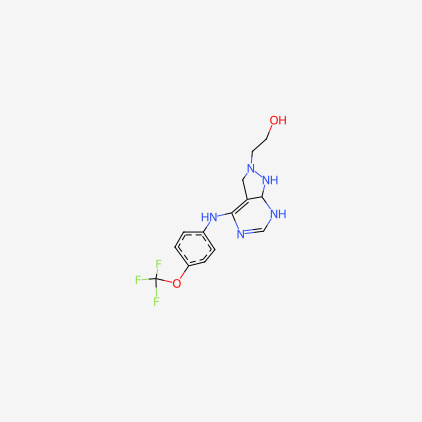 OCCN1CC2=C(Nc3ccc(OC(F)(F)F)cc3)N=CNC2N1